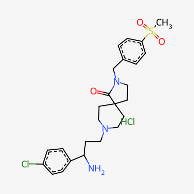 CS(=O)(=O)c1ccc(CN2CCC3(CCN(CCC(N)c4ccc(Cl)cc4)CC3)C2=O)cc1.Cl